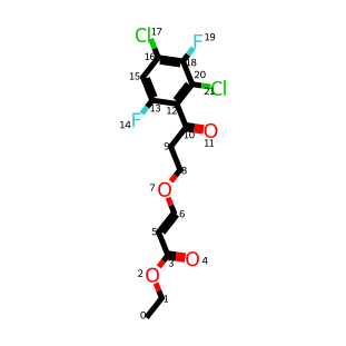 CCOC(=O)C=COCCC(=O)c1c(F)cc(Cl)c(F)c1Cl